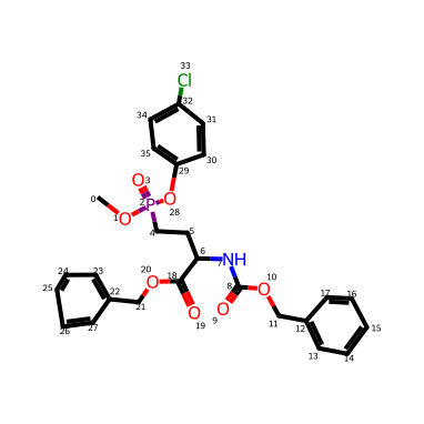 COP(=O)(CCC(NC(=O)OCc1ccccc1)C(=O)OCc1ccccc1)Oc1ccc(Cl)cc1